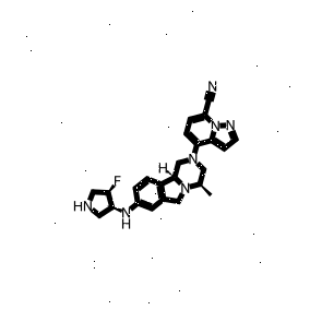 C[C@@H]1CN(c2ccc(C#N)n3nccc23)C[C@@H]2c3ccc(N[C@H]4CNC[C@H]4F)cc3CN12